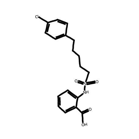 O=C(O)c1ccccc1NS(=O)(=O)CCCCCc1ccc(Cl)cc1